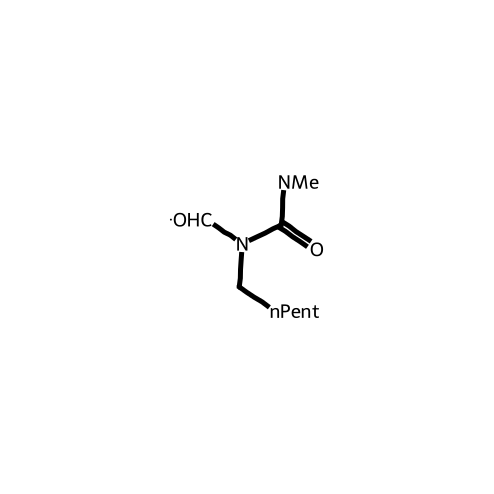 CCCCCCN([C]=O)C(=O)NC